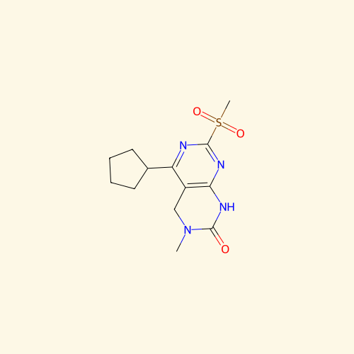 CN1Cc2c(nc(S(C)(=O)=O)nc2C2CCCC2)NC1=O